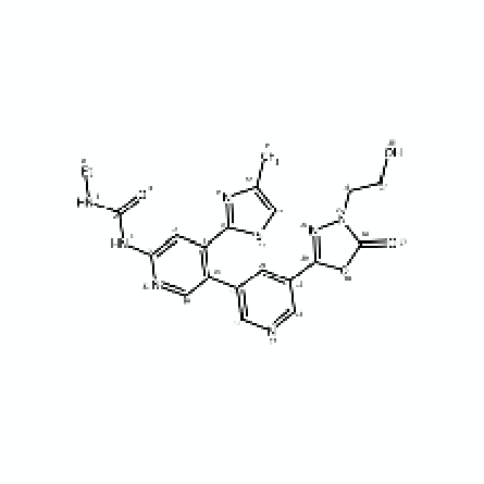 CCNC(=O)Nc1cc(-c2nc(C(F)(F)F)cs2)c(-c2cncc(-c3nn(CCO)c(=O)o3)c2)cn1